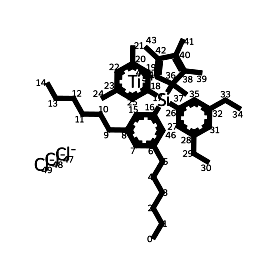 CCCCCCc1cc(CCCCCC)cc([Si](c2cc(C)cc(C)c2)(c2cc(CC)cc(CC)c2)C2(C)C(C)=C(C)C(C)=[C]2[Ti+3])c1.[Cl-].[Cl-].[Cl-]